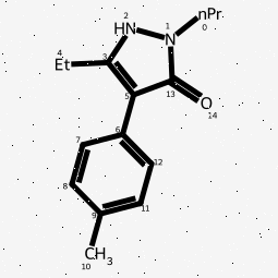 CCCn1[nH]c(CC)c(-c2ccc(C)cc2)c1=O